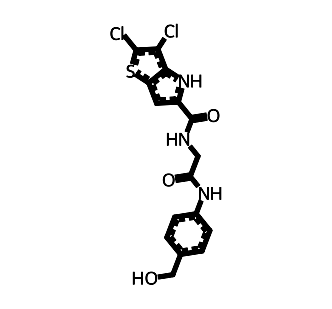 O=C(CNC(=O)c1cc2sc(Cl)c(Cl)c2[nH]1)Nc1ccc(CO)cc1